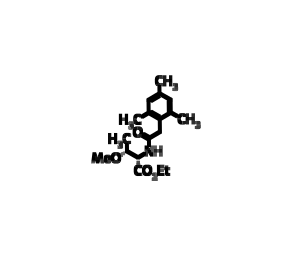 CCOC(=O)[C@@H](NC(=O)Cc1c(C)cc(C)cc1C)[C@@H](C)OC